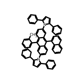 Cc1ccccc1-c1c2cc(-n3c(-c4ccccc4)ccc3C3C=CC=CC3)ccc2c(-c2cccc3ccccc23)c2cc(-n3c(-c4ccccc4)ccc3-c3ccccc3)ccc12